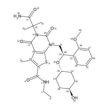 CCNC(=O)c1sc2c(c1C)c(=O)n(C(C)(C)C(N)=O)c(=O)n2C[C@H](O[C@H]1CC[C@H](O)CC1)c1ccccc1OC